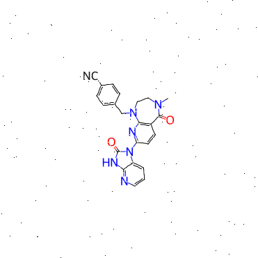 CN1CCN(Cc2ccc(C#N)cc2)c2nc(-n3c(=O)[nH]c4ncccc43)ccc2C1=O